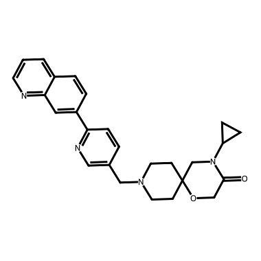 O=C1COC2(CCN(Cc3ccc(-c4ccc5cccnc5c4)nc3)CC2)CN1C1CC1